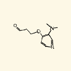 CN(C)c1cnccc1OCCC=O